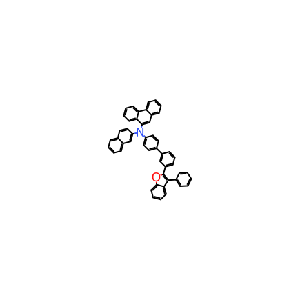 c1ccc(-c2c(-c3cccc(-c4ccc(N(c5ccc6ccccc6c5)c5cc6ccccc6c6ccccc56)cc4)c3)oc3ccccc23)cc1